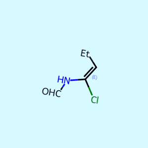 CC/C=C(/Cl)NC=O